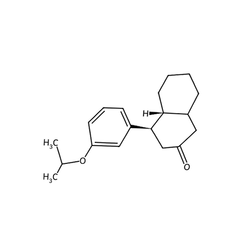 CC(C)Oc1cccc([C@@H]2CC(=O)CC3CCCC[C@H]32)c1